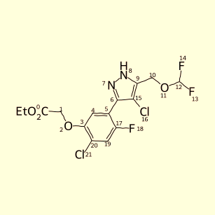 CCOC(=O)COc1cc(-c2n[nH]c(COC(F)F)c2Cl)c(F)cc1Cl